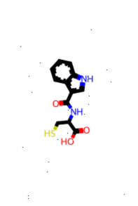 O=C(NC(CS)C(=O)O)c1c[nH]c2ccccc12